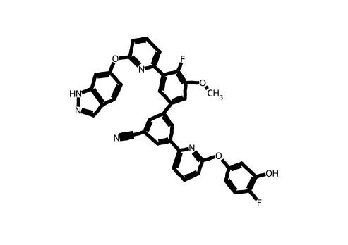 COc1cc(-c2cc(C#N)cc(-c3cccc(Oc4ccc(F)c(O)c4)n3)c2)cc(-c2cccc(Oc3ccc4cn[nH]c4c3)n2)c1F